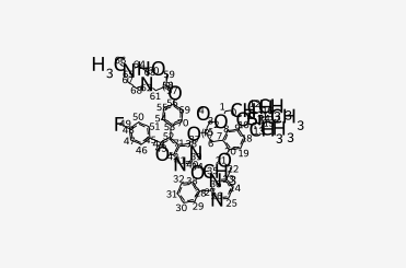 CCOC(=O)[C@@H](Cc1cc(O[Si](C)(C)C(C)(C)C)ccc1OCc1ccnc(-c2ccccc2OC)n1)Oc1ncnc2oc(-c3ccc(F)cc3)c(-c3ccc(O[C@H](CO)CN4CCN(C)CC4)cc3)c12